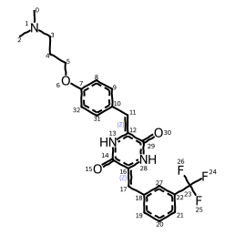 CN(C)CCCOc1ccc(/C=c2\[nH]c(=O)/c(=C/c3cccc(C(F)(F)F)c3)[nH]c2=O)cc1